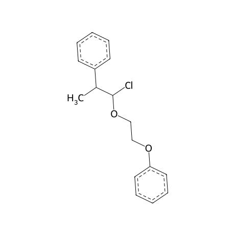 CC(c1ccccc1)C(Cl)OCCOc1ccccc1